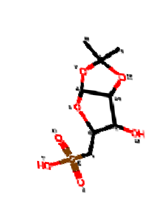 CC1(C)OC2OC(CS(=O)(=O)O)C(O)C2O1